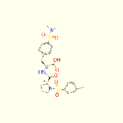 Cc1ccc(S(=O)(=O)N2CCC[C@H]2C(=O)N[C@@H](Cc2ccc(S(=O)(=O)N(C)C)cc2)C(=O)O)cc1